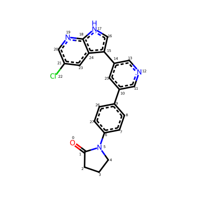 O=C1CCCN1c1ccc(-c2cncc(-c3c[nH]c4ncc(Cl)cc34)c2)cc1